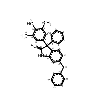 Cc1cc(C2(c3ccccc3)C(=O)Nc3cc(Cc4ccccc4)ccc32)cc(C)c1O